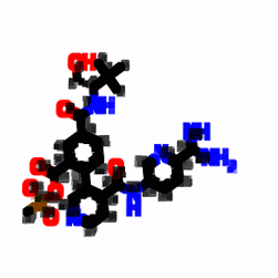 CC(C)(C)[C@@H](CO)NC(=O)c1ccc(-c2cnccc2C(=O)Nc2ccc(C(=N)N)nc2)c(C(=O)OS(C)(=O)=O)c1